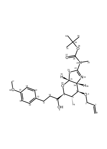 C=CCO[C@H]1[C@H](C)[C@@H](C(O)CCc2ccc(OC)cc2)O[C@@H]2SC(N(C)C(=O)OC(C)(C)C)=N[C@H]12